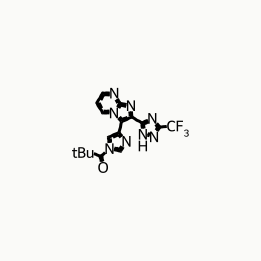 CC(C)(C)C(=O)n1cnc(-c2c(-c3nc(C(F)(F)F)n[nH]3)nc3ncccn23)c1